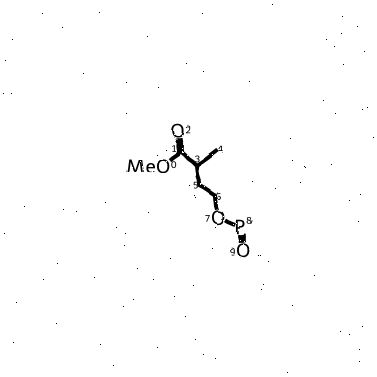 COC(=O)C(C)CCOP=O